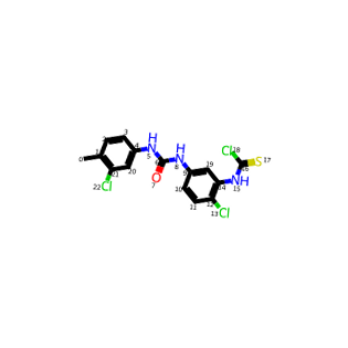 Cc1ccc(NC(=O)Nc2ccc(Cl)c(NC(=S)Cl)c2)cc1Cl